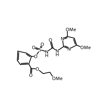 COCCOC(=O)c1ccccc1OS(=O)(=O)NC(=O)Nc1nc(OC)cc(OC)n1